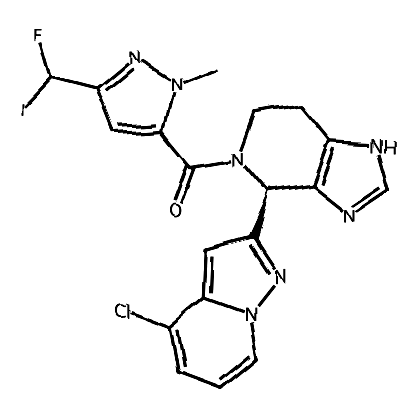 Cn1nc(C(F)I)cc1C(=O)N1CCc2[nH]cnc2[C@H]1c1cc2c(Cl)cccn2n1